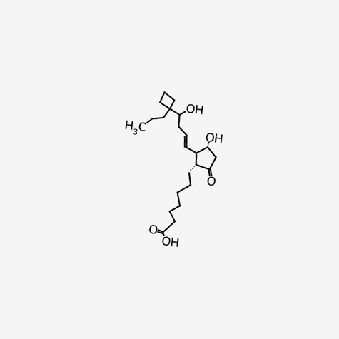 CCCC1(C(O)C/C=C/C2[C@H](O)CC(=O)[C@@H]2CCCCCCC(=O)O)CCC1